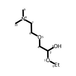 CCOC(O)COCCN(C)C